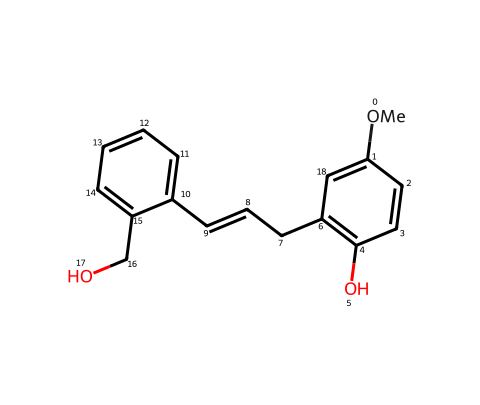 COc1ccc(O)c(C/C=C/c2ccccc2CO)c1